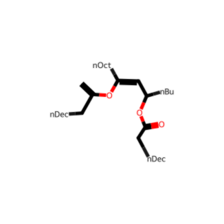 C=C(CCCCCCCCCCC)O/C(=C\C(CCCC)OC(=O)CCCCCCCCCCC)CCCCCCCC